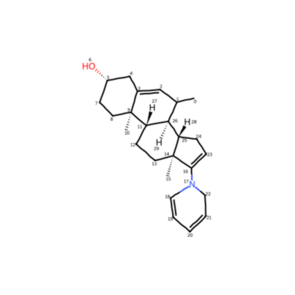 CC1C=C2C[C@@H](O)CC[C@]2(C)[C@H]2CC[C@]3(C)C(N4C=CC=CC4)=CC[C@H]3[C@H]12